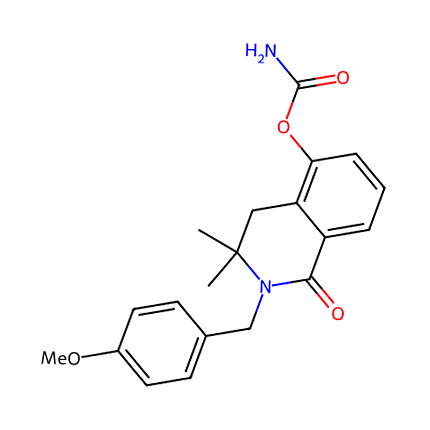 COc1ccc(CN2C(=O)c3cccc(OC(N)=O)c3CC2(C)C)cc1